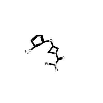 CCN(CC)C(=O)N1CC(Oc2cccc(C(F)(F)F)c2)C1